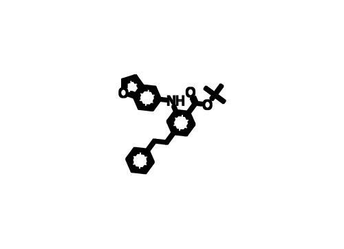 CC(C)(C)OC(=O)c1ccc(CCc2ccccc2)cc1Nc1ccc2occc2c1